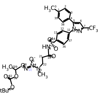 Cc1ccc(-c2cc(C(F)(F)F)nn2-c2ccc(S(=O)(=O)NC(=O)CCN(C)/[N+]([O-])=N/OC(C)OC(=O)OC(C)(C)C)cc2)cc1